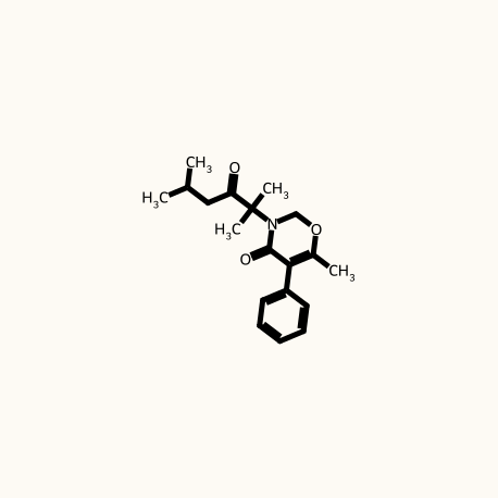 CC1=C(c2ccccc2)C(=O)N(C(C)(C)C(=O)CC(C)C)CO1